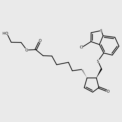 O=C(CCCCCC[C@H]1C=CC(=O)[C@@H]1CSc1cccc2scc(Cl)c12)OCCO